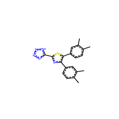 Cc1ccc(-c2nc(-c3nnn[nH]3)sc2-c2ccc(C)c(C)c2)cc1C